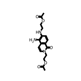 CC(=O)OCCNc1ccc2c(=O)n(CCOC(C)=O)ccc2c1N